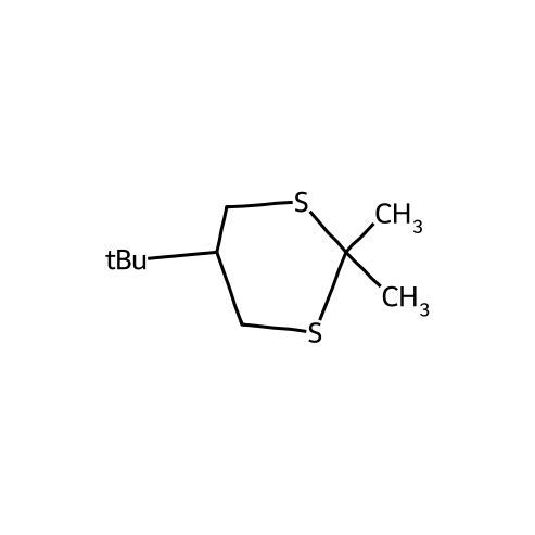 CC1(C)SCC(C(C)(C)C)CS1